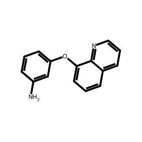 Nc1cccc(Oc2cccc3cccnc23)c1